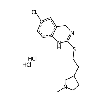 CN1CCC(CCSC2=NCc3cc(Cl)ccc3N2)C1.Cl.Cl